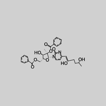 CC(O)CCC(O)=Cc1ccn([C@@H]2O[C@H](COC(=O)c3ccccc3)[C@@H](O)[C@@]2(C)OC(=O)c2ccccc2)c(=O)n1